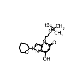 CC(C)(C)[Si](C)(C)OCCn1c(=O)cc(O)c2nn(C3CCCCO3)cc21